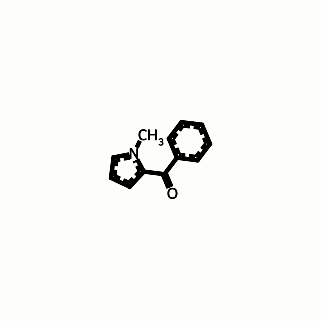 Cn1cccc1C(=O)c1ccccc1